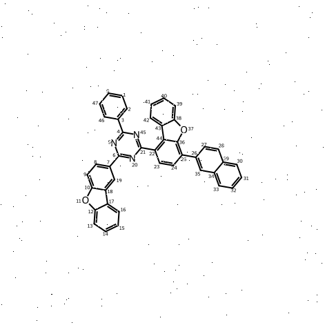 c1ccc(-c2nc(-c3ccc4oc5ccccc5c4c3)nc(-c3ccc(-c4ccc5ccccc5c4)c4oc5ccccc5c34)n2)cc1